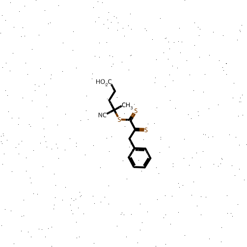 CC(C#N)(CCC(=O)O)SC(=S)C(=S)Cc1ccccc1